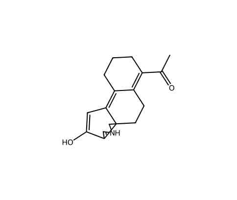 CC(=O)C1=C2CCC34CNC=C3C(O)=CC4=C2CCC1